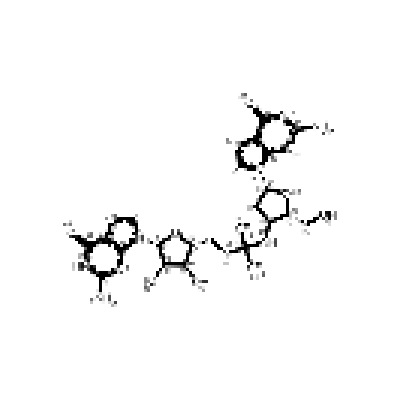 Nc1nc2c(ncn2[C@@H]2O[C@H](CNC(NC3C[C@H](n4cnc5c(=O)[nH]c(N)nc54)O[C@@H]3CO)(C(F)(F)F)C(F)(F)F)[C@@H](O)[C@H]2O)c(=O)[nH]1